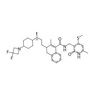 CSc1cc(C)[nH]c(=O)c1CNC(=O)C1=C(C)C(CC[C@H](C)C2CCC(N3CC(F)(F)C3)CC2)Cc2ccccc21